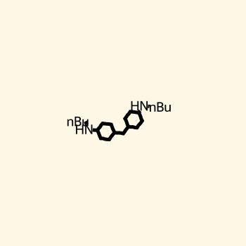 CCCCNC1CCC(CC2CCC(NCCCC)CC2)CC1